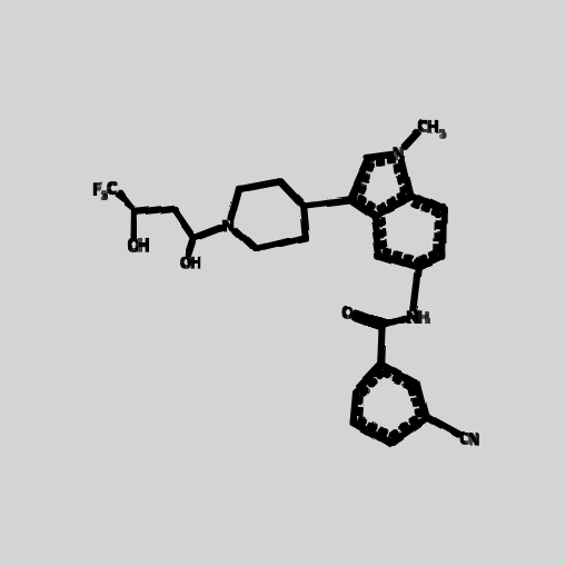 Cn1cc(C2CCN(C(O)C[C@@H](O)C(F)(F)F)CC2)c2cc(NC(=O)c3cccc(C#N)c3)ccc21